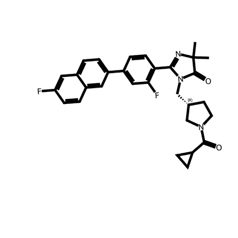 CC1(C)N=C(c2ccc(-c3ccc4cc(F)ccc4c3)cc2F)N(C[C@@H]2CCN(C(=O)C3CC3)C2)C1=O